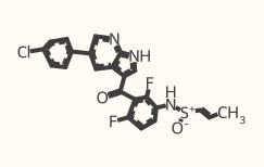 C/C=C/[S+]([O-])Nc1ccc(F)c(C(=O)c2c[nH]c3ncc(-c4ccc(Cl)cc4)cc23)c1F